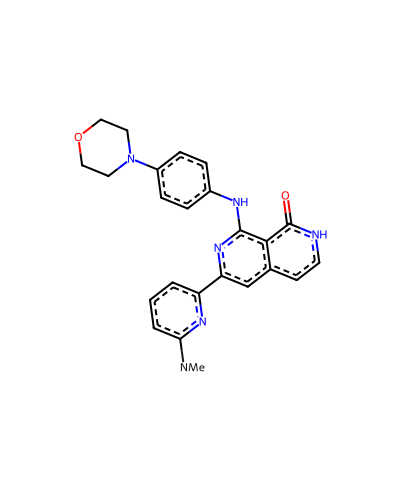 CNc1cccc(-c2cc3cc[nH]c(=O)c3c(Nc3ccc(N4CCOCC4)cc3)n2)n1